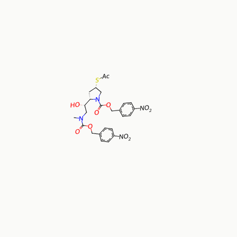 CC(=O)S[C@H]1C[C@@H]([C@@H](O)CN(C)C(=O)OCc2ccc([N+](=O)[O-])cc2)N(C(=O)OCc2ccc([N+](=O)[O-])cc2)C1